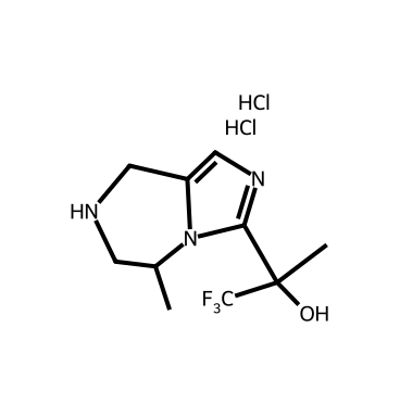 CC1CNCc2cnc(C(C)(O)C(F)(F)F)n21.Cl.Cl